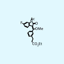 CCOC(=O)CCc1cccc(C(OC)=C2C(=O)N(C(C)=O)c3cc(F)ccc32)c1